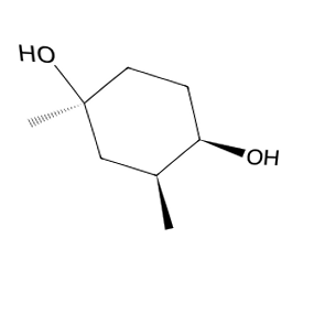 C[C@H]1C[C@@](C)(O)CC[C@H]1O